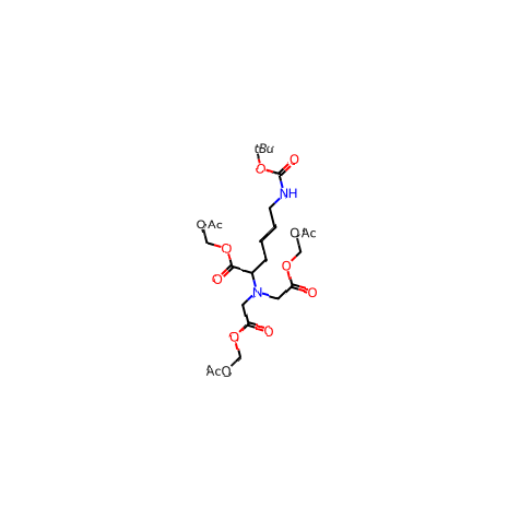 CC(=O)OCOC(=O)CN(CC(=O)OCOC(C)=O)C(CCCCNC(=O)OC(C)(C)C)C(=O)OCOC(C)=O